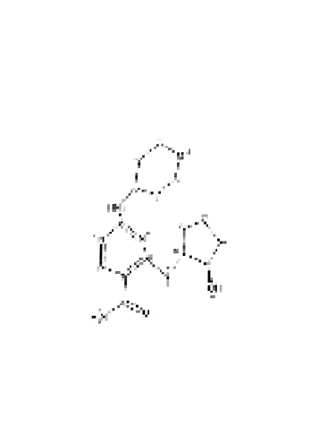 NC(=O)c1cnc(NC2CCOCC2)nc1N[C@@H]1CCC[C@H]1O